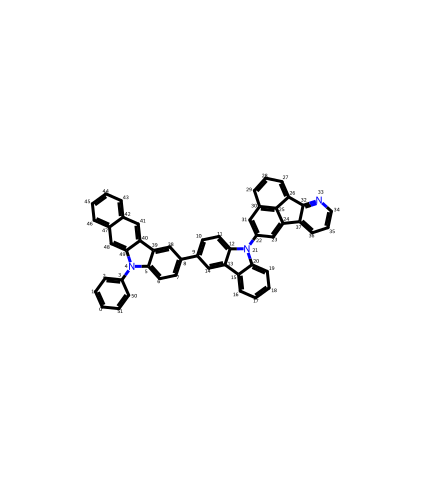 c1ccc(-n2c3ccc(-c4ccc5c(c4)c4ccccc4n5-c4cc5c6c(cccc6c4)-c4ncccc4-5)cc3c3cc4ccccc4cc32)cc1